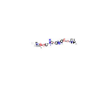 CN(C)CCOCCOc1ccc(-c2nc3cc(-c4ccc5[nH]c(-c6ccc(OCCOCCN(C)C)cc6)nc5c4)ccc3[nH]2)cc1